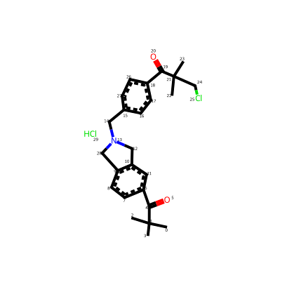 CC(C)(C)C(=O)c1ccc2c(c1)CN(Cc1ccc(C(=O)C(C)(C)CCl)cc1)C2.Cl